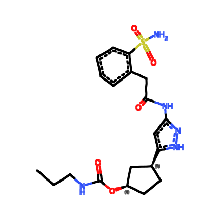 CCCNC(=O)O[C@@H]1CC[C@H](c2cc(NC(=O)Cc3ccccc3S(N)(=O)=O)n[nH]2)C1